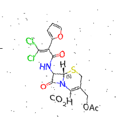 CC(=O)OCC1=C(C(=O)O)N2C(=O)C(NC(=O)C(=C(Cl)Cl)c3ccco3)[C@@H]2SC1